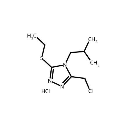 CCSc1nnc(CCl)n1CC(C)C.Cl